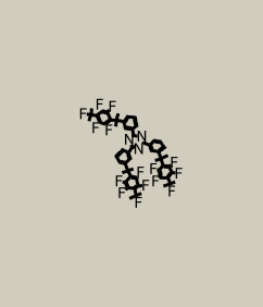 CC(C)(F)c1c(F)c(F)c(C(C)(C)c2cccc(-c3nc(-c4cccc(C(C)(C)c5c(F)c(F)c(C(C)(C)F)c(F)c5F)c4)nc(-c4cccc(C(C)(C)c5c(F)c(F)c(C(C)(C)F)c(F)c5F)c4)n3)c2)c(F)c1F